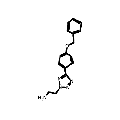 NCCn1nnc(-c2ccc(OCc3ccccc3)cc2)n1